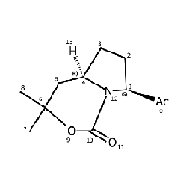 CC(=O)[C@@H]1CC[C@@H]2CC(C)(C)OC(=O)N21